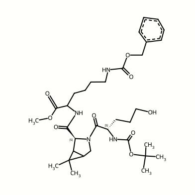 COC(=O)C(CCCCNC(=O)OCc1ccccc1)NC(=O)[C@@H]1C2C(CN1C(=O)[C@H](CCCO)NC(=O)OC(C)(C)C)C2(C)C